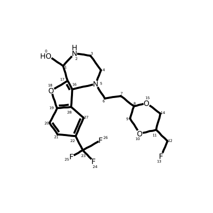 OC1NCCN(CCC2COC(CF)CO2)c2c1oc1ccc(C(F)(F)F)cc21